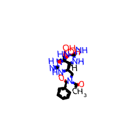 CC(=O)N(CC1NC(=N)N2CCC(O)(O)C23NC(=N)N[C@@H]13)C(=O)c1ccccc1